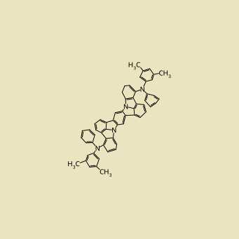 Cc1cc(C)cc(N(C2=CCCc3c2c2cccc4c5cc6c(cc5n3c24)c2cccc3c4c(N(c5ccccc5)c5cc(C)cc(C)c5)cccc4n6c23)c2ccccc2)c1